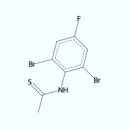 CC(=S)Nc1c(Br)cc(F)cc1Br